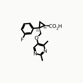 Cc1ncc(OC[C@@]2(c3cccc(F)c3)C[C@H]2C(=O)O)c(C)n1